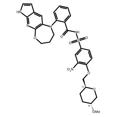 CO[C@@H]1CC[C@@H](COc2ccc(S(=O)(=O)NC(=O)c3ccccc3N3CCCOc4nc5[nH]ccc5cc43)cc2[N+](=O)[O-])OC1